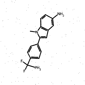 Cn1c(-c2ccc(C(F)(F)P)cc2)cc2cc(N)ccc21